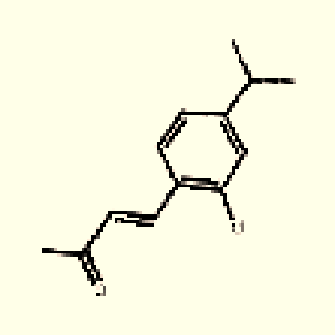 CC(=O)C=Cc1ccc(C(C)C)cc1Cl